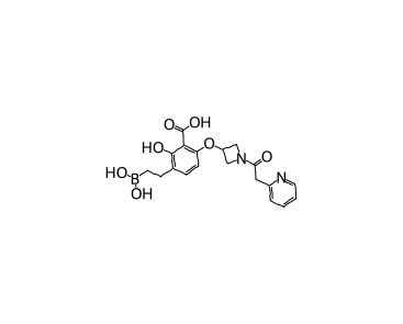 O=C(O)c1c(OC2CN(C(=O)Cc3ccccn3)C2)ccc(CCB(O)O)c1O